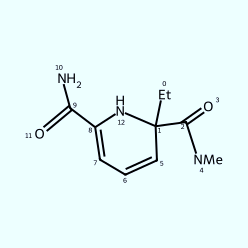 CCC1(C(=O)NC)C=CC=C(C(N)=O)N1